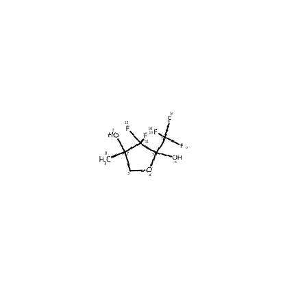 CC1(O)COC(O)(C(F)(F)F)C1(F)F